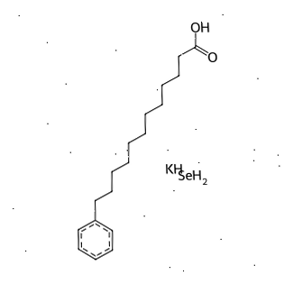 O=C(O)CCCCCCCCCCCc1ccccc1.[KH].[SeH2]